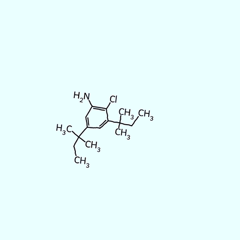 CCC(C)(C)c1cc(N)c(Cl)c(C(C)(C)CC)c1